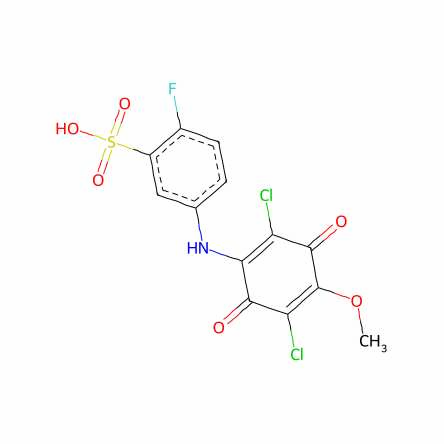 COC1=C(Cl)C(=O)C(Nc2ccc(F)c(S(=O)(=O)O)c2)=C(Cl)C1=O